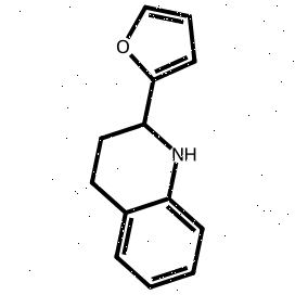 c1coc(C2CCc3ccccc3N2)c1